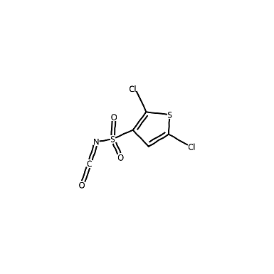 O=C=NS(=O)(=O)c1cc(Cl)sc1Cl